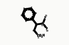 O=C(O)CC(c1ccccc1)N(F)F